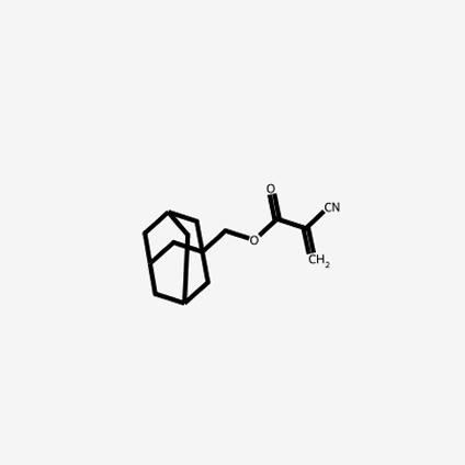 C=C(C#N)C(=O)OCC12CC3CC(CC(C3)C1)C2